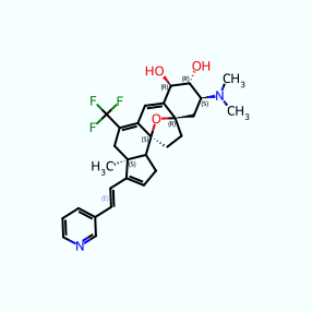 CN(C)[C@H]1C[C@@]23CC[C@@]4(O2)C(=C(C(F)(F)F)C[C@]2(C)C(/C=C/c5cccnc5)=CCC24)C=C3[C@@H](O)[C@@H]1O